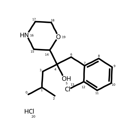 CC(C)CC(O)(Cc1ccccc1Cl)C1CNCCO1.Cl